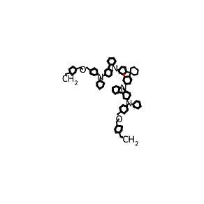 C=Cc1ccc(COCc2ccc(N(c3ccccc3)c3ccc4c(c3)c3ccccc3n4-c3ccc(C4(c5ccc(-n6c7ccccc7c7cc(N(c8ccccc8)c8ccc(COCc9ccc(C=C)cc9)cc8)ccc76)cc5)CCCCC4)cc3)cc2)cc1